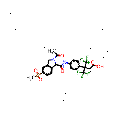 CC(=O)N1Cc2cc(S(C)(=O)=O)ccc2C1C(=O)Nc1ccc(C(CC(=O)O)(C(F)(F)F)C(F)(F)F)cc1